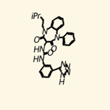 CC(C)CCN1C(=O)C(NC(=O)Nc2cccc(-c3nnn[nH]3)c2)C(=O)N(c2ccccc2)c2ccccc21